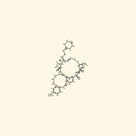 C[C@@H]1CC/C=C/[C@H](OCCN2CCOCC2)[C@@H]2CC[C@H]2CN2CCCCc3cc(Cl)ccc3COc3ccc(cc32)C(=O)NS1(=O)=O